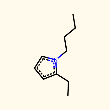 CCCCn1cccc1CC